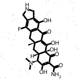 CN(C)[C@@H]1C(O)=C(C(N)=O)C(=O)[C@@]2(O)C(O)=C3C(=O)c4c(O)c5c(c(F)c4C[C@@]3(C)C[C@@H]12)CNC5